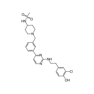 CS(=O)(=O)NC1CCN(Cc2cccc(-c3ccnc(NCCc4ccc(O)c(Cl)c4)n3)c2)CC1